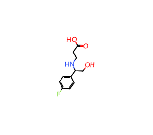 O=C(O)CCN[C@@H](CO)c1ccc(F)cc1